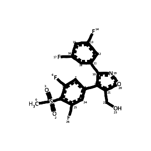 CS(=O)(=O)c1c(F)cc(-c2c(-c3cc(F)cc(F)c3)noc2CO)cc1F